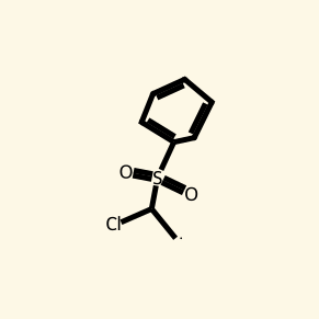 [CH2]C(Cl)S(=O)(=O)c1ccccc1